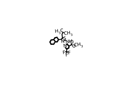 COC(=O)c1cc(C(F)(F)F)cnc1Nc1nc(-c2ccc3ccccc3c2)c(CC(C)C)s1